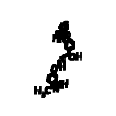 Cc1n[nH]c2cc(OCCNC[C@H](O)c3cccc(NS(=O)(=O)c4ccsc4)c3)ccc12